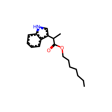 CCCCCCCOC(=O)C(C)c1c[nH]c2ccccc12